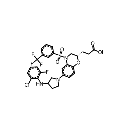 O=C(O)CC[C@H]1CN(S(=O)(=O)c2cccc(C(F)(F)F)c2)c2cc(N3CCC(Nc4c(F)cccc4Cl)C3)ccc2O1